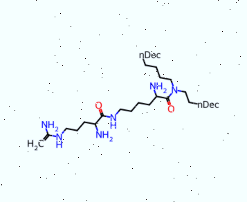 C=C(N)NCCCC(N)C(=O)NCCCCC(N)C(=O)N(CCCCCCCCCCCC)CCCCCCCCCCCCCC